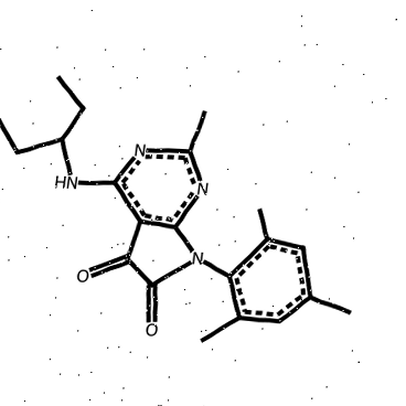 CCC(CC)Nc1nc(C)nc2c1C(=O)C(=O)N2c1c(C)cc(C)cc1C